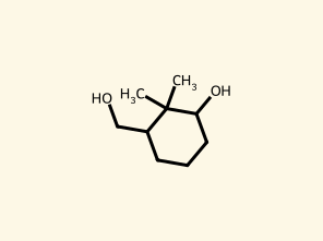 CC1(C)C(O)CCCC1CO